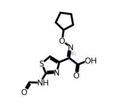 O=CNc1nc(/C(=N\OC2CCCC2)C(=O)O)cs1